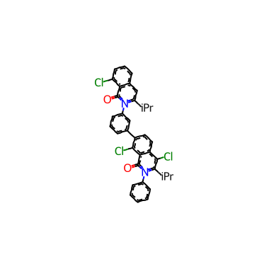 CC(C)c1cc2cccc(Cl)c2c(=O)n1-c1cccc(-c2ccc3c(Cl)c(C(C)C)n(-c4ccccc4)c(=O)c3c2Cl)c1